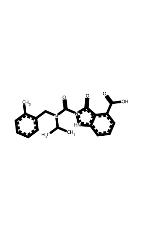 Cc1ccccc1CN(C(=O)n1[nH]c2cccc(C(=O)O)c2c1=O)C(C)C